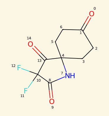 O=C1CCC2(CC1)NC(=O)C(F)(F)C2=O